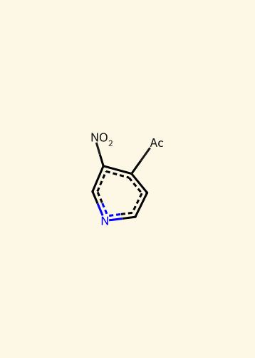 CC(=O)c1ccncc1[N+](=O)[O-]